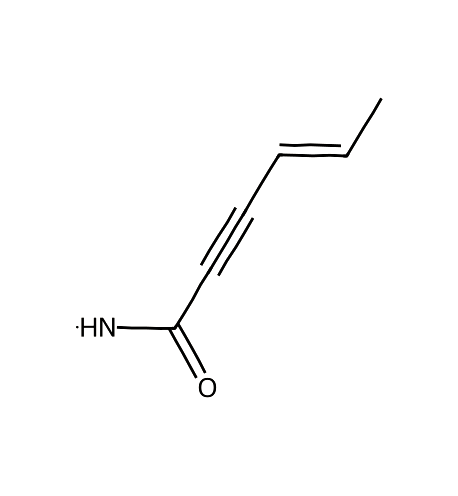 CC=CC#CC([NH])=O